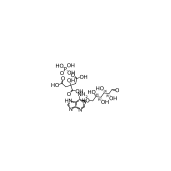 Nc1ncnc2nc[nH]c12.O=C(O)CC(O)(CC(=O)O)C(=O)O.O=C[C@H](O)[C@@H](O)[C@H](O)[C@H](O)CO.O=P(O)(O)O